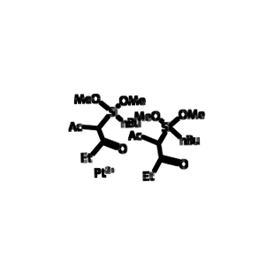 CCCC[Si](OC)(OC)C(C(C)=O)C(=O)CC.CCCC[Si](OC)(OC)C(C(C)=O)C(=O)CC.[Pt+2]